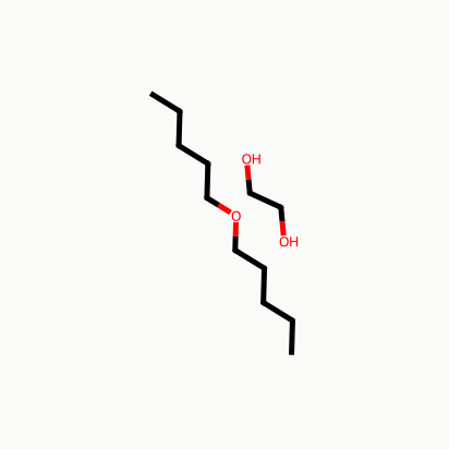 CCCCCOCCCCC.OCCO